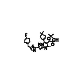 Cc1nc2cc(-c3ncc(Cc4ccc(F)cc4)s3)nn2c(C2=CCC(C)(C)CC2)c1C(OC(C)(C)C)C(=O)O